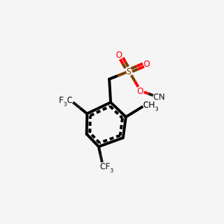 Cc1cc(C(F)(F)F)cc(C(F)(F)F)c1CS(=O)(=O)OC#N